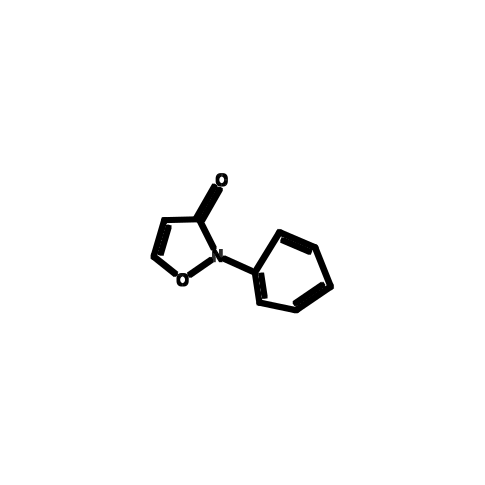 O=c1ccon1-c1ccccc1